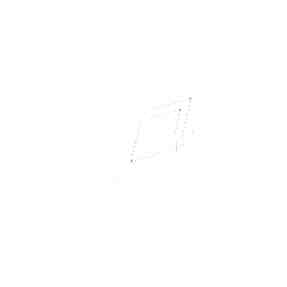 CC1P2=C=P=21